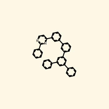 c1ccc(-c2cc(-c3ccccc3)cc(-c3cccc(-c4cccc(-c5ccnc(-c6ccccc6)n5)c4)c3)c2)cc1